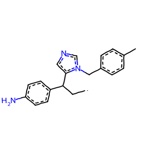 [CH2]CC(c1ccc(N)cc1)c1cncn1Cc1ccc(C)cc1